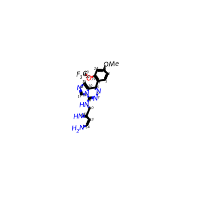 COc1ccc(-c2nnc(NCC(=N)/C=C\N)n3cncc23)c(OC(F)(F)F)c1